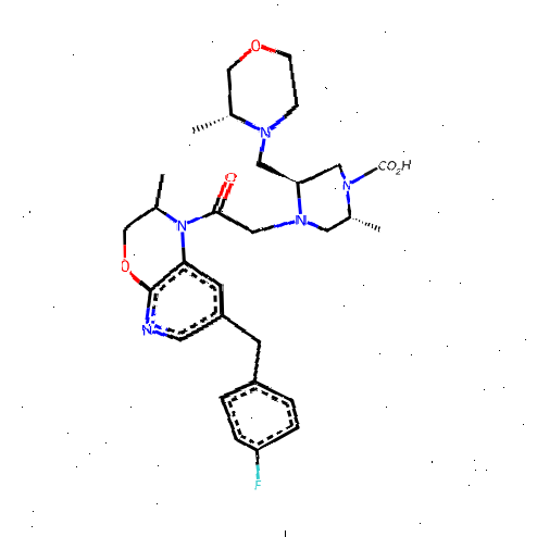 CC1COc2ncc(Cc3ccc(F)cc3)cc2N1C(=O)CN1C[C@@H](C)N(C(=O)O)C[C@@H]1CN1CCOC[C@H]1C